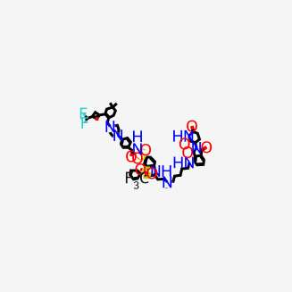 CN(CCCCCNc1cccc2c1C(=O)N(C1CCC(=O)NC1=O)C2=O)CCC(CSc1ccccc1)Nc1ccc(S(=O)(=O)NC(=O)c2ccc(N3CCN(CC4=C(C56CC(C(F)F)(C5)C6)CC(C)(C)CC4)CC3)cc2)cc1S(=O)(=O)C(F)(F)F